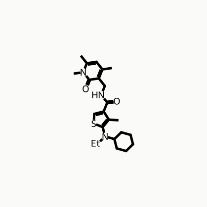 CCN(c1scc(C(=O)NCc2c(C)cc(C)n(C)c2=O)c1C)C1CCCCC1